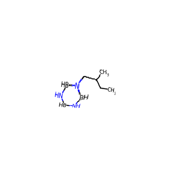 CCC(C)CN1BNBNB1